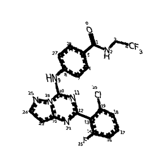 O=C(NCC(F)(F)F)c1ccc(Nc2nc(-c3c(F)cccc3Cl)nc3ccnn23)cc1